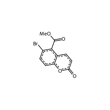 COC(=O)c1c(Br)ccc2oc(=O)ccc12